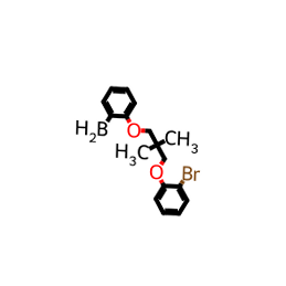 Bc1ccccc1OCC(C)(C)COc1ccccc1Br